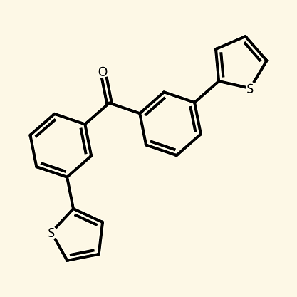 O=C(c1cccc(-c2cccs2)c1)c1cccc(-c2cccs2)c1